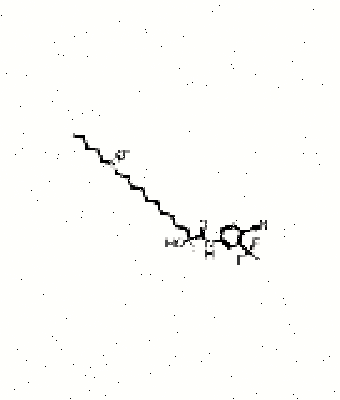 CCCCC[S+]([O-])CCCCCCCCCC[C@](C)(O)C(=O)Nc1ccc(C#N)c(C(F)(F)F)c1